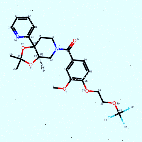 COc1cc(C(=O)N2CCC3(c4ccccn4)OC(C)(C)O[C@@H]3C2)ccc1OCCOC(F)(F)F